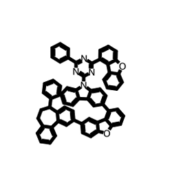 c1ccc(-c2nc(-c3cccc4oc5ccccc5c34)nc(-n3c4ccccc4c4cc(-c5cccc6oc7ccc(-c8ccc9c(c8)-c8ccccc8CCC9c8ccccc8)cc7c56)ccc43)n2)cc1